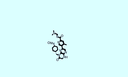 CO[C@H]1CC[C@H](CN2C(=O)CNc3ncc(-c4cnc(C(=O)N=CN(C)C)cc4C)nc32)CC1